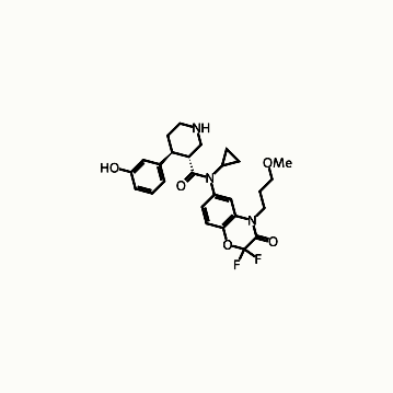 COCCCN1C(=O)C(F)(F)Oc2ccc(N(C(=O)[C@H]3CNCC[C@@H]3c3cccc(O)c3)C3CC3)cc21